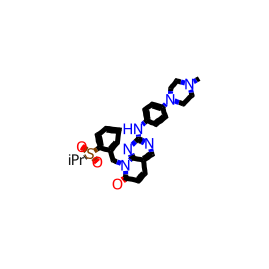 CC(C)S(=O)(=O)c1ccccc1Cn1c(=O)ccc2cnc(Nc3ccc(N4CCN(C)CC4)cc3)nc21